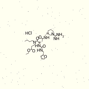 CCCCN(CCC(=O)OCC)C(=O)[C@H](CC(=O)NC[C@@H]1CCCN(C(=N)N)C1)NC(=O)NCc1ccco1.Cl